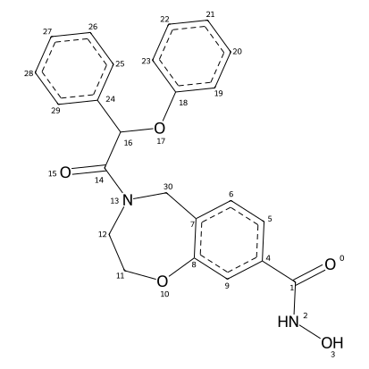 O=C(NO)c1ccc2c(c1)OCCN(C(=O)C(Oc1ccccc1)c1ccccc1)C2